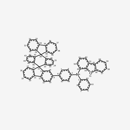 c1ccc(N(c2ccc(-c3ccc4c(c3)C3(c5ccccc5-4)c4ccccc4C4(c5ccccc5-c5ccccc54)c4ccccc43)cc2)c2cccc3c2oc2ccccc23)cc1